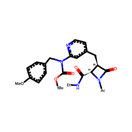 CCNC(=O)[C@@H]1[C@@H](Cc2ccnc(N(Cc3ccc(OC)cc3)C(=O)OC(C)(C)C)c2)C(=O)N1C(C)=O